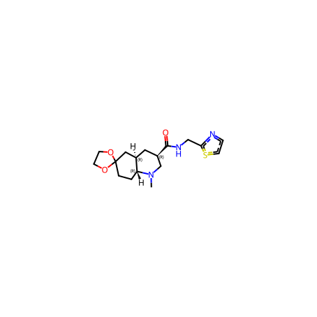 CN1C[C@H](C(=O)NCc2nccs2)C[C@@H]2CC3(CC[C@H]21)OCCO3